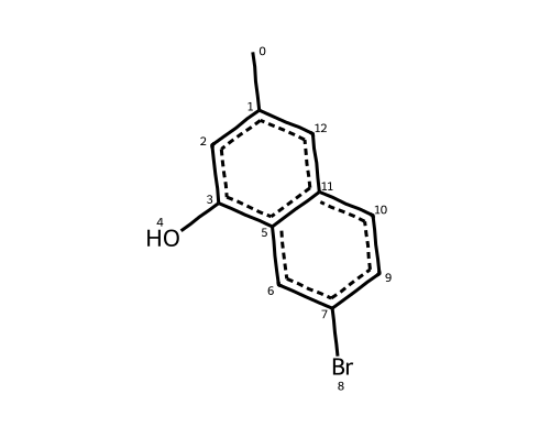 Cc1cc(O)c2cc(Br)ccc2c1